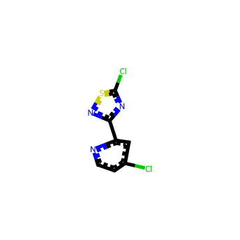 Clc1ccnc(-c2nsc(Cl)n2)c1